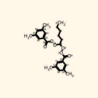 [CH2]CCCC[C](OOC(=O)c1cc(C)cc(C)c1)OOC(=O)c1cc(C)cc(C)c1